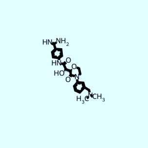 CN(C)Cc1cccc(N2CCO[C@H]([C@@H](O)C(=O)Nc3ccc(C(=N)N)cc3)C2=O)c1